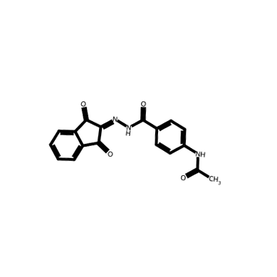 CC(=O)Nc1ccc(C(=O)NN=c2c(=O)c3ccccc3c2=O)cc1